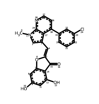 Cn1cc(C=C2Oc3cc(O)cc(O)c3C2=O)c2c(-c3cccc(Cl)c3)ccnc21